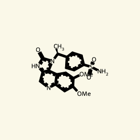 COc1cc2ncc3[nH]c(=O)n([C@@H](C)c4ccc(S(N)(=O)=O)cc4)c3c2cc1OC